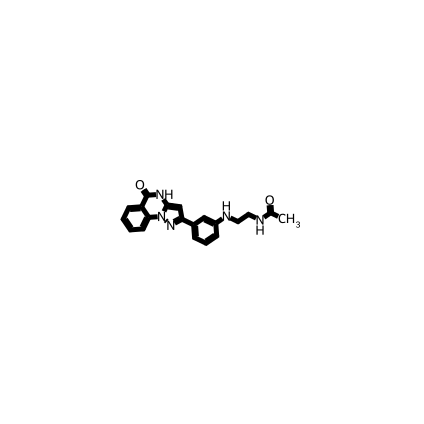 CC(=O)NCCNc1cccc(-c2cc3[nH]c(=O)c4ccccc4n3n2)c1